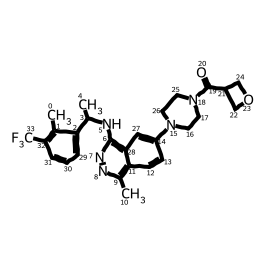 Cc1c(C(C)Nc2nnc(C)c3ccc(N4CCN(C(=O)C5COC5)CC4)cc23)cccc1C(F)(F)F